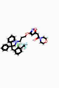 O=C(Cc1cc(OCCCNCC(Cc2cccc(C(F)(F)F)c2Cl)(c2ccccc2)c2ccccc2)no1)N1CCOCC1